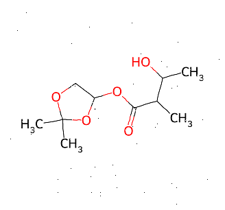 CC(O)C(C)C(=O)OC1COC(C)(C)O1